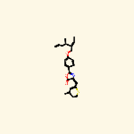 C=CCC(C)/C(=C\C)COc1ccc(C2=N/C(=C/C3=CC(C)CCS3)C(=O)O2)cc1